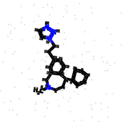 CN1CCC(c2ccccc2)c2ccc(CCn3ccnn3)cc2C1